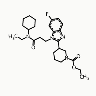 CCOC(=O)N1CCCC(c2nc3ccc(F)cc3n2CCC(=O)N(CC)C2CCCCC2)C1